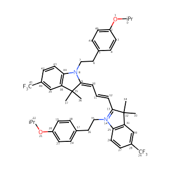 CC(C)Oc1ccc(CCN2/C(=C/C=C/C3=[N+](CCc4ccc(OC(C)C)cc4)c4ccc(C(F)(F)F)cc4C3(C)C)C(C)(C)c3cc(C(F)(F)F)ccc32)cc1